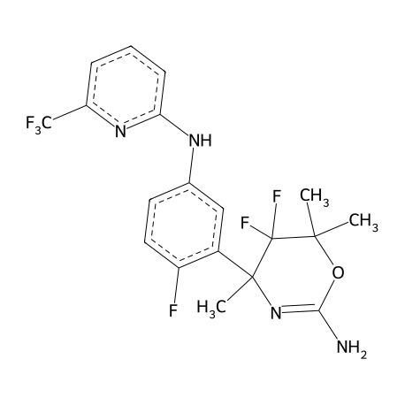 CC1(C)OC(N)=NC(C)(c2cc(Nc3cccc(C(F)(F)F)n3)ccc2F)C1(F)F